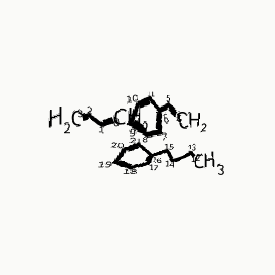 C=CC=C.C=Cc1ccccc1.CCCCc1ccccc1